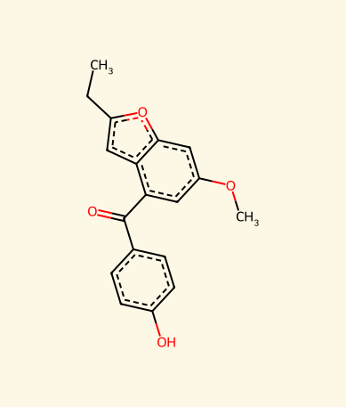 CCc1cc2c(C(=O)c3ccc(O)cc3)cc(OC)cc2o1